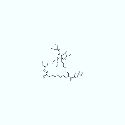 CCC(CC)OOC(=O)CCCCCCCC(CCCCCCC(OC(CC)CC)(OC(CC)CC)C(=O)OOC(CC)CC)NC1CC2(COC2)C1